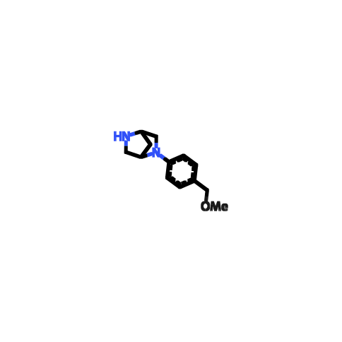 COCc1ccc(N2CC3CC2CN3)cc1